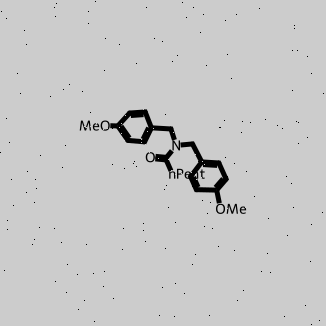 [CH2]CCCCC(=O)N(Cc1ccc(OC)cc1)Cc1ccc(OC)cc1